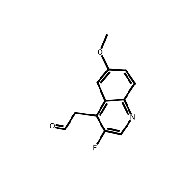 COc1ccc2ncc(F)c(CC=O)c2c1